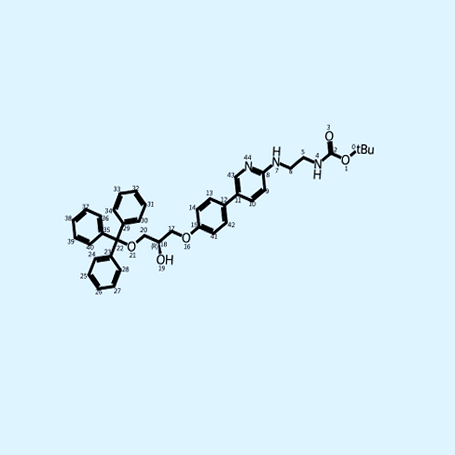 CC(C)(C)OC(=O)NCCNc1ccc(-c2ccc(OC[C@@H](O)COC(c3ccccc3)(c3ccccc3)c3ccccc3)cc2)cn1